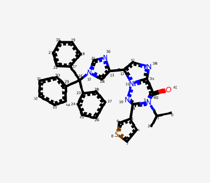 CC(C)n1c(-c2ccsc2)nn2c(-c3cn(C(c4ccccc4)(c4ccccc4)c4ccccc4)cn3)cnc2c1=O